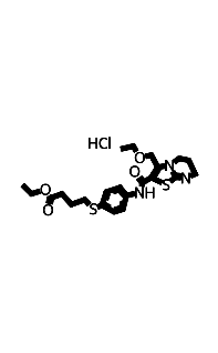 CCOCC1=C(C(=O)Nc2ccc(SCCCC(=O)OCC)cc2)SC2=NCCCN21.Cl